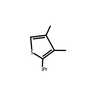 Cc1csc(C(C)C)c1C